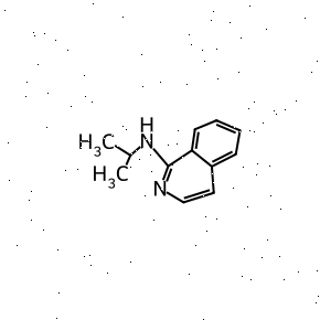 CC(C)Nc1nccc2ccccc12